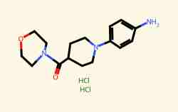 Cl.Cl.Nc1ccc(N2CCC(C(=O)N3CCOCC3)CC2)cc1